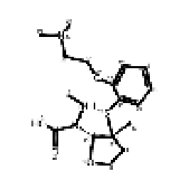 CNC(C(=O)O)[C@H]1OCC[C@@]1(C)Sc1ccccc1OCCN(C)C